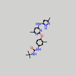 Cc1cc(Nc2cc(C)nc(Oc3ccc(NC(=O)NC(C)(C)C)cc3C)n2)[nH]n1